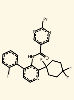 CC(C)c1ncc(C(=O)Nc2c(-c3ccccc3F)ccnc2C2(F)CCC(F)(F)CC2)cn1